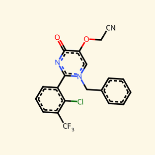 N#CCOc1cn(Cc2ccccc2)c(-c2cccc(C(F)(F)F)c2Cl)nc1=O